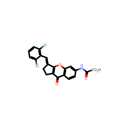 O=C(O)C(=O)Nc1ccc2c(=O)c3c(oc2c1)C(=Cc1c(Cl)cccc1Cl)CC3